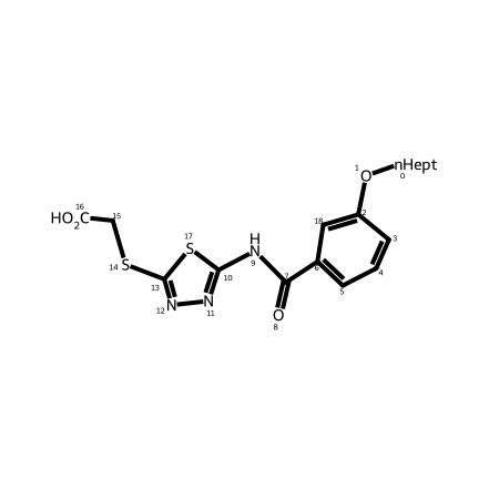 CCCCCCCOc1cccc(C(=O)Nc2nnc(SCC(=O)O)s2)c1